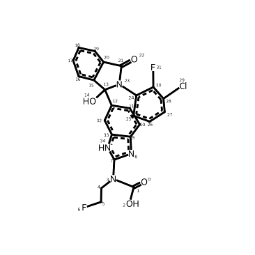 O=C(O)N(CCF)c1nc2ccc(C3(O)c4ccccc4C(=O)N3c3cccc(Cl)c3F)cc2[nH]1